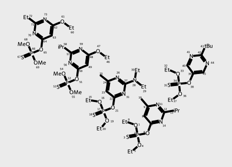 CCOP(=S)(OCC)Oc1cc(C)nc(C(C)C)n1.CCOP(=S)(OCC)Oc1cc(C)nc(N(CC)CC)n1.CCOP(=S)(OCC)Oc1cnc(C(C)(C)C)nc1.CCOc1cc(OP(=S)(OC)OC)nc(C(C)C)n1.CCOc1cc(OP(=S)(OC)OC)nc(CC)n1